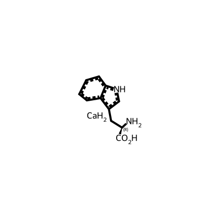 N[C@H](Cc1c[nH]c2ccccc12)C(=O)O.[CaH2]